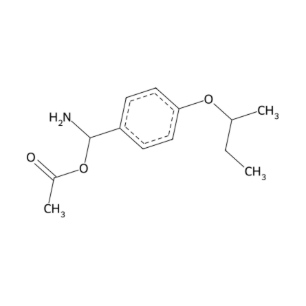 CCC(C)Oc1ccc(C(N)OC(C)=O)cc1